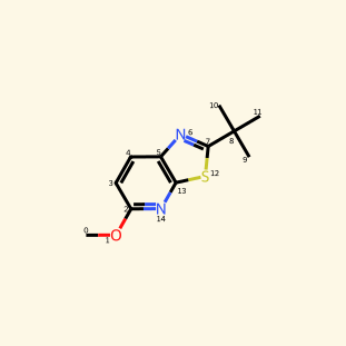 COc1ccc2nc(C(C)(C)C)sc2n1